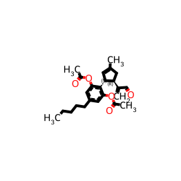 C=C(C=O)[C@@H]1CC(C)=C[C@H]1c1c(OC(C)=O)cc(CCCCC)cc1OC(C)=O